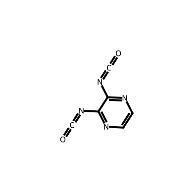 O=C=Nc1nccnc1N=C=O